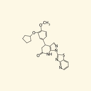 COc1ccc(C2CC(=O)Nc3c2cnn3-c2nc3ncccc3s2)cc1OC1CCCC1